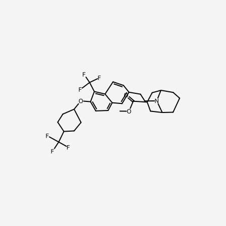 COC(=O)C1CC2CCCC(C1)N2CCc1ccc2c(C(F)(F)F)c(OC3CCC(C(F)(F)F)CC3)ccc2c1